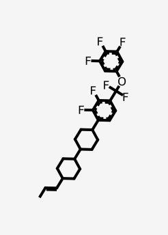 C/C=C/C1CCC(C2CCC(c3ccc(C(F)(F)Oc4cc(F)c(F)c(F)c4)c(F)c3F)CC2)CC1